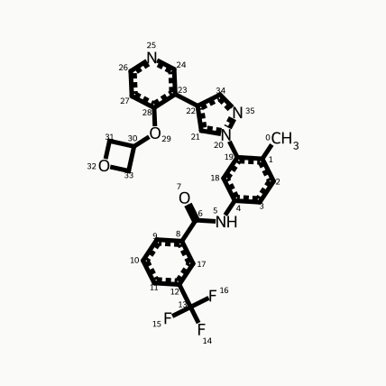 Cc1ccc(NC(=O)c2cccc(C(F)(F)F)c2)cc1-n1cc(-c2cnccc2OC2COC2)cn1